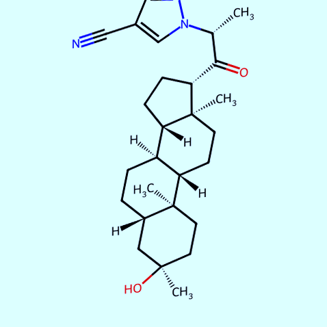 C[C@H](C(=O)[C@H]1CC[C@H]2[C@@H]3CC[C@H]4C[C@](C)(O)CC[C@]4(C)[C@H]3CC[C@]12C)n1cc(C#N)cn1